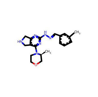 Cc1cccc(/C=N/Nc2nc3c(c(N4CCOC[C@@H]4C)n2)CNC3)c1